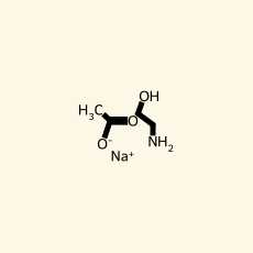 CC(=O)[O-].NCCO.[Na+]